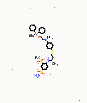 C[C@H](CCSc1ccc(N(C)CCO[Si](c2ccccc2)(c2ccccc2)C(C)(C)C)cc1)Nc1ccc(S(N)(=O)=O)cc1S(=O)(=O)C(F)(F)F